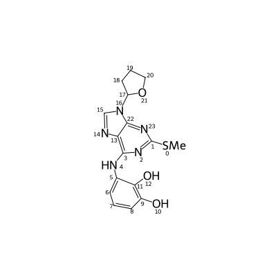 CSc1nc(Nc2cccc(O)c2O)c2ncn(C3CCCO3)c2n1